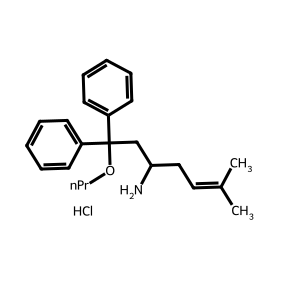 CCCOC(CC(N)CC=C(C)C)(c1ccccc1)c1ccccc1.Cl